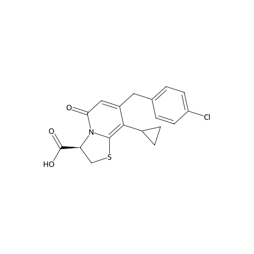 O=C(O)[C@@H]1CSc2c(C3CC3)c(Cc3ccc(Cl)cc3)cc(=O)n21